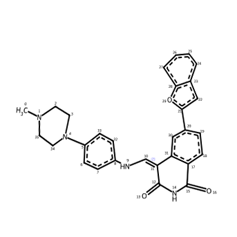 CN1CCN(c2ccc(N/C=C3\C(=O)NC(=O)c4ccc(-c5cc6ccccc6o5)cc43)cc2)CC1